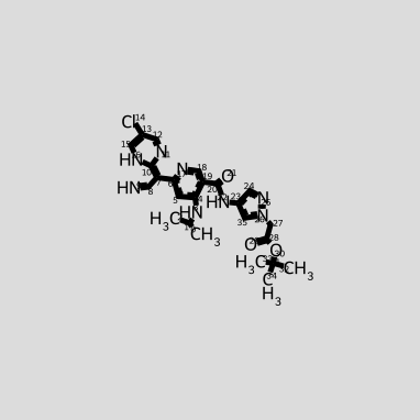 CC(C)Nc1cc(/C(C=N)=C2\N=CC(Cl)=CN2)ncc1C(=O)Nc1cnn(CC(=O)OC(C)(C)C)c1